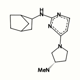 CN[C@H]1CCN(c2ccnc(NC3CC4CCC3C4)n2)C1